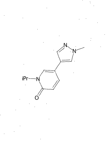 CC(C)n1cc(-c2cnn(C)c2)ccc1=O